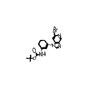 CC(C)(C)OC(=O)N[C@@H]1CCC[C@H](n2cnc3cnc(Br)cc32)C1